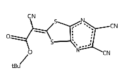 CC(C)(C)OC(=O)C(C#N)=C1Sc2nc(C#N)c(C#N)nc2S1